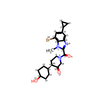 Cn1c(C(=O)N2CC[C@H](C3CCC(O)CC3)C(=O)C2)nc2cc(C3CC3)cc(Br)c21